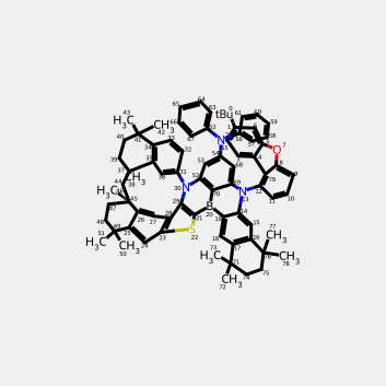 CC(C)(C)c1ccc2c(c1)oc1cccc(N3c4cc5c(cc4B4c6sc7cc8c9cc7c6N(c6ccc7c(c6)C(C)(CCC7(C)C)C[C@@]9(C)CCC8(C)C)c6cc(N(c7ccccc7)c7ccccc7)cc3c64)C(C)(C)CCC5(C)C)c12